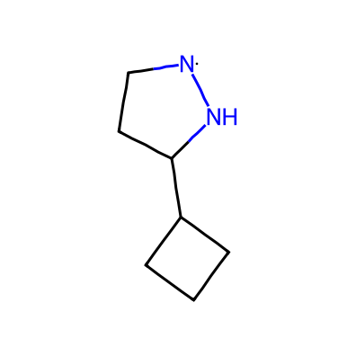 C1CC(C2CC[N]N2)C1